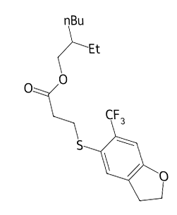 CCCCC(CC)COC(=O)CCSc1cc2c(cc1C(F)(F)F)OCC2